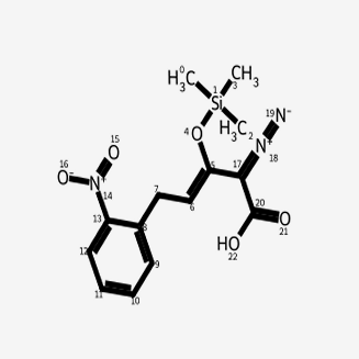 C[Si](C)(C)O/C(=C\Cc1ccccc1[N+](=O)[O-])C(=[N+]=[N-])C(=O)O